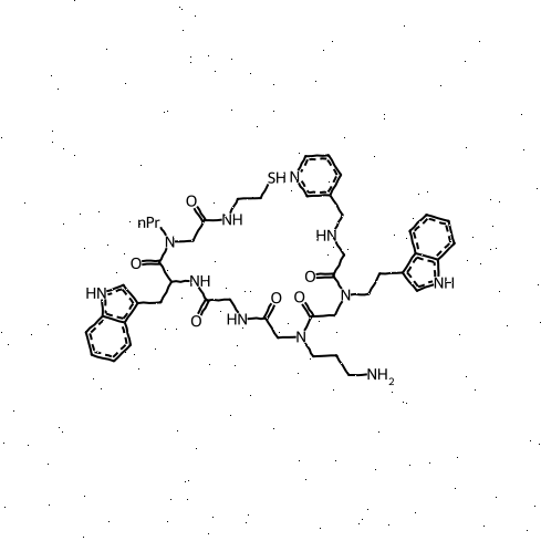 CCCN(CC(=O)NCCS)C(=O)C(Cc1c[nH]c2ccccc12)NC(=O)CNC(=O)CN(CCCN)C(=O)CN(CCc1c[nH]c2ccccc12)C(=O)CNCc1cccnc1